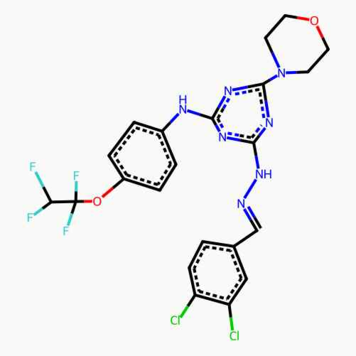 FC(F)C(F)(F)Oc1ccc(Nc2nc(N/N=C/c3ccc(Cl)c(Cl)c3)nc(N3CCOCC3)n2)cc1